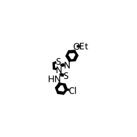 CCOc1ccc(/N=C2\SCCN2C(=S)Nc2cccc(Cl)c2)cc1